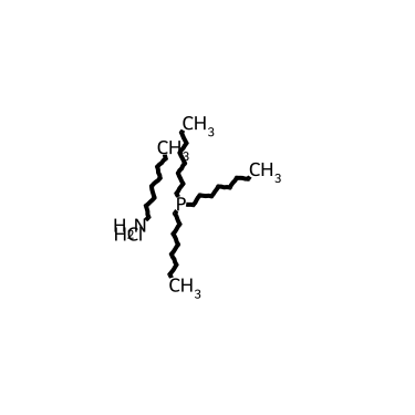 CCCCCCCCN.CCCCCCCCP(CCCCCCCC)CCCCCCCC.Cl